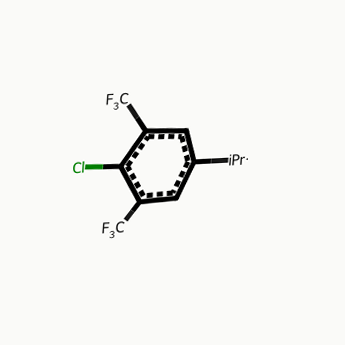 C[C](C)c1cc(C(F)(F)F)c(Cl)c(C(F)(F)F)c1